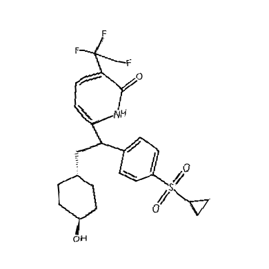 O=c1[nH]c(C(C[C@H]2CC[C@H](O)CC2)c2ccc(S(=O)(=O)C3CC3)cc2)ccc1C(F)(F)F